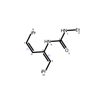 CCNC(=O)NC(/C=C\C(C)C)=C/C(C)C